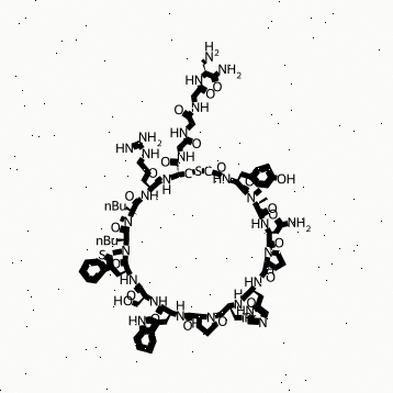 CCCC[C@H]1C(=O)N(C)[C@@H](CCCC)C(=O)N[C@@H](CCCNC(=N)N)C(=O)N[C@H](C(=O)NCC(=O)NCC(=O)NCC(=O)N[C@H](CN)C(N)=O)CSCC(=O)N[C@@H](Cc2ccc(O)cc2)C(=O)N(C)[C@@H](C)C(=O)N[C@@H](CC(N)=O)C(=O)N2CCC[C@H]2C(=O)N[C@@H](Cc2cnc[nH]2)C(=O)N[C@@H](CC(C)C)C(=O)N2CCC[C@H]2C(=O)N[C@@H](Cc2c[nH]c3ccccc23)C(=O)N[C@@H](CO)C(=O)N[C@@H](Cc2csc3ccccc23)C(=O)N1C